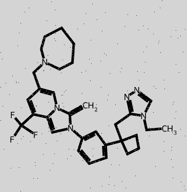 C=C1N2C=C(CN3CCCCCC3)C=C(C(F)(F)F)C2=CN1c1cccc(C2(Cc3nncn3CC)CCC2)c1